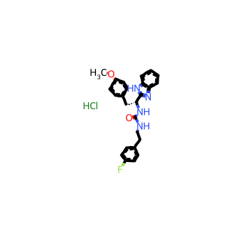 COc1ccc(C[C@@H](NC(=O)NCCc2ccc(F)cc2)c2nc3ccccc3[nH]2)cc1.Cl